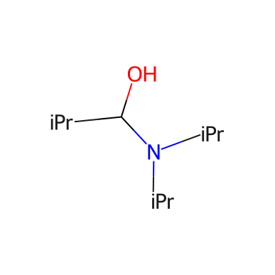 CC(C)C(O)N(C(C)C)C(C)C